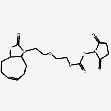 O=C(OCCOCCN1C(=O)OC2CCC=CCCC21)ON1C(=O)CCC1=O